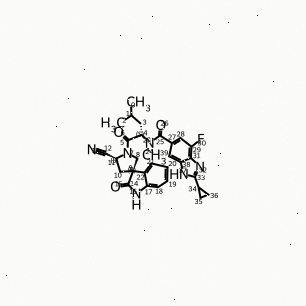 CC(C)C[C@@H](C(=O)N1C[C@]2(C[C@H]1C#N)C(=O)Nc1ccccc12)N(C)C(=O)c1cc(F)c2nc(C3CC3)[nH]c2c1